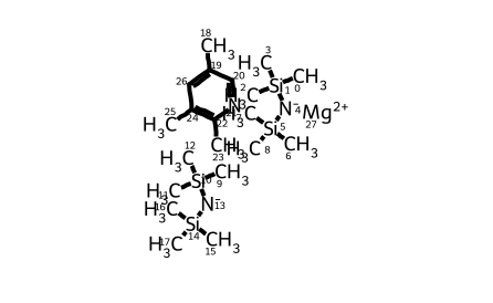 C[Si](C)(C)[N-][Si](C)(C)C.C[Si](C)(C)[N-][Si](C)(C)C.Cc1cnc(C)c(C)c1.[Mg+2]